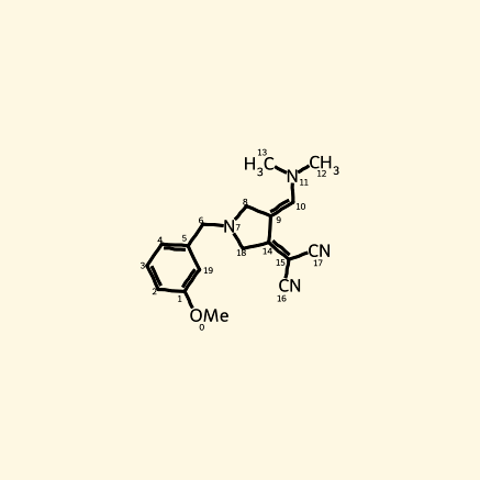 COc1cccc(CN2CC(=CN(C)C)C(=C(C#N)C#N)C2)c1